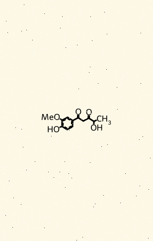 COc1cc(C(=O)CC(=O)C(C)O)ccc1O